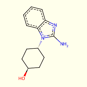 Nc1nc2ccccc2n1[C@H]1CC[C@H](O)CC1